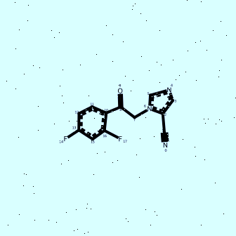 N#Cc1cncn1CC(=O)c1ccc(F)cc1F